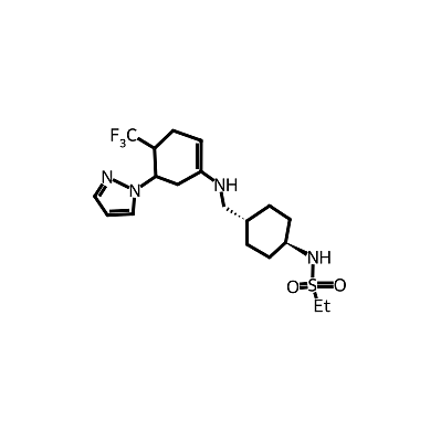 CCS(=O)(=O)N[C@H]1CC[C@H](CNC2=CCC(C(F)(F)F)C(n3cccn3)C2)CC1